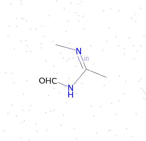 C/N=C(/C)NC=O